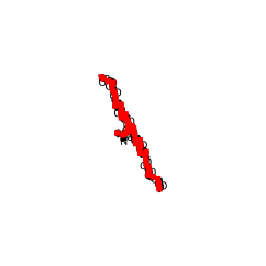 [C-]#[N+]/C(C#N)=C1/Sc2c(OC(=O)[C@H]3CC[C@H](C(=O)Oc4ccc(CCOC(=O)CCC(=O)OC(C)COCC(C)OC(=O)C=C)cc4)CC3)c(C)c(C)c(OC(=O)[C@H]3CC[C@H](C(=O)Oc4ccc(CCOC(=O)CCC(=O)OC(C)COC(=O)C=C)cc4)CC3)c2S1